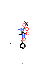 CC1[C@H](NC(=O)OC(C)(C)C)C(=O)N1OCc1ccccc1